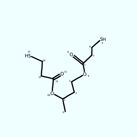 CC(CCOC(=O)CCS)OC(=O)CCS